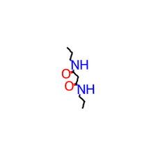 CCCNC(=O)CC(=O)NCCC